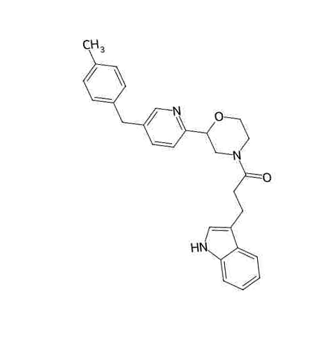 Cc1ccc(Cc2ccc(C3CN(C(=O)CCc4c[nH]c5ccccc45)CCO3)nc2)cc1